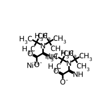 CC(C)(C)N(C(=N)C(=O)[O-])C(C)(C)C.CC(C)(C)N(C(=N)C(=O)[O-])C(C)(C)C.[Ni+2]